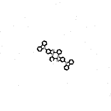 C/C=C\c1c(C)c2nc3cc(-n4c5ccccc5c5ccccc54)ccc3n2c2ccccc2c2nc3cc(-n4c5ccccc5c5ccccc54)ccc3n12